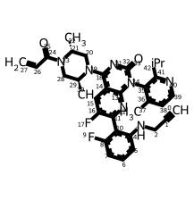 C#CCNc1cccc(F)c1-c1nc2c(cc1F)c(N1C[C@@H](C)N(C(=O)C=C)C[C@@H]1C)nc(=O)n2-c1c(C)ccnc1C(C)C